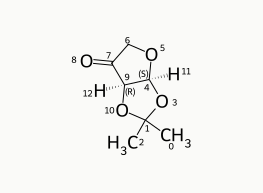 CC1(C)O[C@@H]2OCC(=O)[C@@H]2O1